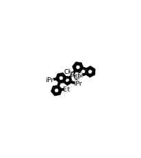 CCc1ccccc1-c1c(C(C)C)ccc2c1C=C(C(C)C)[CH]2[Zr]([Cl])([Cl])[c]1cccc2c1[SiH2]c1ccccc1-2